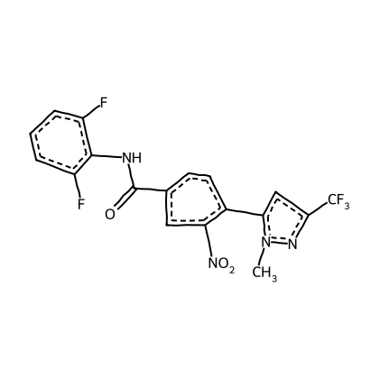 Cn1nc(C(F)(F)F)cc1-c1ccc(C(=O)Nc2c(F)cccc2F)cc1[N+](=O)[O-]